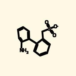 Nc1ccccc1-c1ccccc1CS([O])(=O)=O